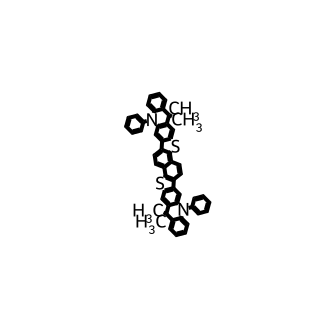 CC1(C)c2ccccc2N(c2ccccc2)c2cc3c(cc21)sc1c3ccc2c1ccc1c3cc4c(cc3sc12)C(C)(C)c1ccccc1N4c1ccccc1